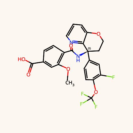 COc1cc(C(=O)O)ccc1C(=O)N[C@]1(c2ccc(OC(F)(F)F)c(F)c2)CCOc2cccnc21